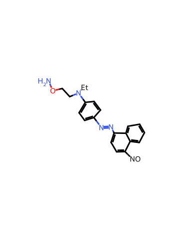 CCN(CCON)c1ccc(N=Nc2ccc(N=O)c3ccccc23)cc1